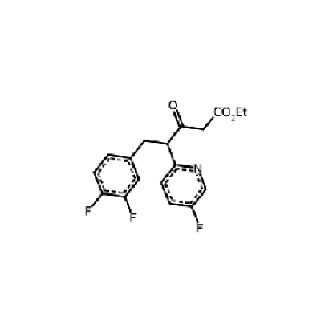 CCOC(=O)CC(=O)C(Cc1ccc(F)c(F)c1)c1ccc(F)cn1